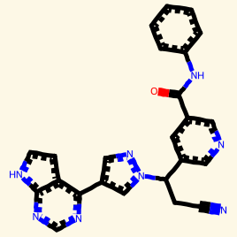 N#CCC(c1cncc(C(=O)Nc2ccccc2)c1)n1cc(-c2ncnc3[nH]ccc23)cn1